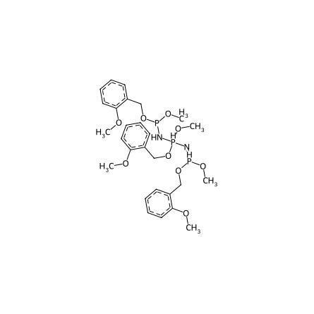 COc1ccccc1COP(N[PH](/N=[PH](/OC)OCc1ccccc1OC)(OC)OCc1ccccc1OC)OC